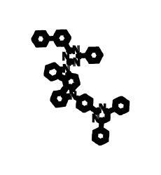 C1=Cc2c(c3c4c5ccccc5n(-c5ccc(-c6nc(-c7ccccc7)cc(-c7ccccc7)n6)cc5)c4ccc3n2-c2nc(-c3ccccc3)nc(-c3cccc(-c4ccccc4)c3)n2)CC1